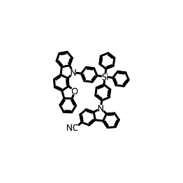 N#Cc1ccc2c(c1)c1ccccc1n2-c1ccc([Si](c2ccccc2)(c2ccccc2)c2ccc(-n3c4ccccc4c4ccc5c6ccccc6oc5c43)cc2)cc1